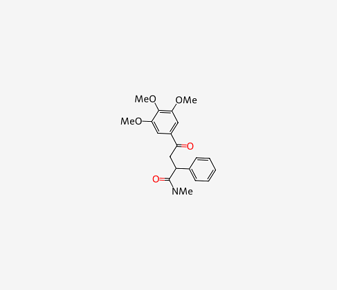 CNC(=O)C(CC(=O)c1cc(OC)c(OC)c(OC)c1)c1ccccc1